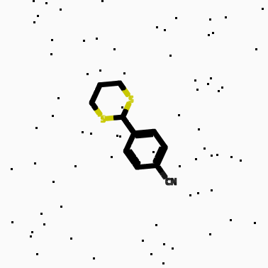 N#Cc1ccc(C2SCCCS2)cc1